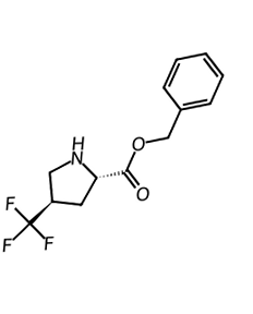 O=C(OCc1ccccc1)[C@@H]1C[C@@H](C(F)(F)F)CN1